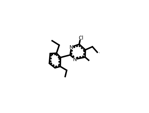 [CH2]Cc1c(C)nc(-c2c(CC)cccc2CC)nc1Cl